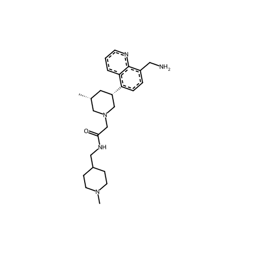 C[C@@H]1C[C@H](c2ccc(CN)c3ncccc23)CN(CC(=O)NCC2CCN(C)CC2)C1